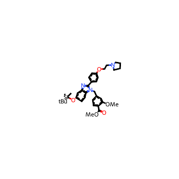 COC(=O)c1ccc(Cn2c(-c3ccc(OCCN4CCCC4)cc3)nc3cc(O[Si](C)(C)C(C)(C)C)ccc32)cc1OC